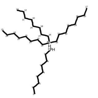 CCCCCCCCP[PH](CCCCCCCC)(CCCCCCCC)CCCCCCCC